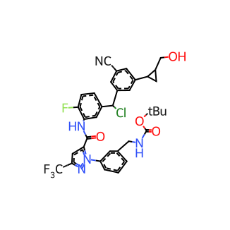 CC(C)(C)OC(=O)NCc1cccc(-n2nc(C(F)(F)F)cc2C(=O)Nc2cc(C(Cl)c3cc(C#N)cc(C4CC4CO)c3)ccc2F)c1